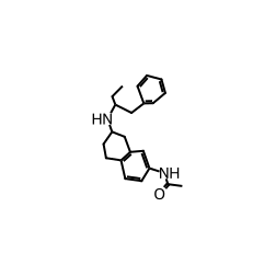 CCC(Cc1ccccc1)NC1CCc2ccc(NC(C)=O)cc2C1